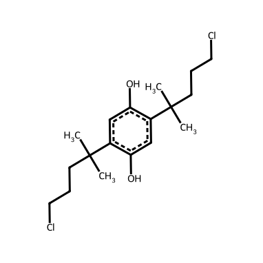 CC(C)(CCCCl)c1cc(O)c(C(C)(C)CCCCl)cc1O